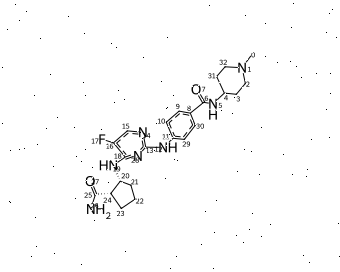 CN1CCC(NC(=O)c2ccc(Nc3ncc(F)c(N[C@@H]4CCC[C@@H]4C(N)=O)n3)cc2)CC1